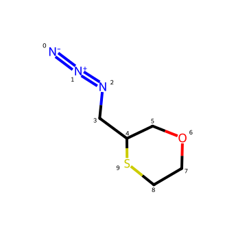 [N-]=[N+]=NCC1COCCS1